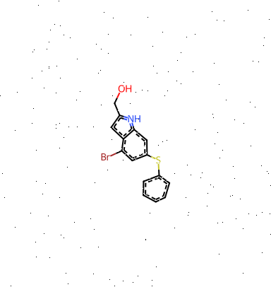 OCc1cc2c(Br)cc(Sc3ccccc3)cc2[nH]1